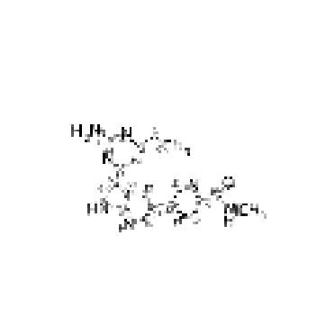 CCc1cc(-c2c[nH]c3ncc(-c4ccc(C(=O)NC)nc4)cc23)nc(N)n1